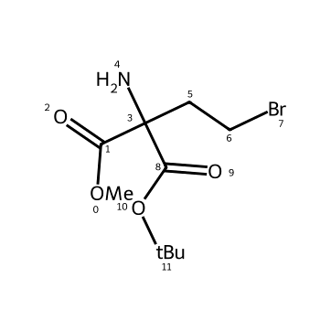 COC(=O)C(N)(CCBr)C(=O)OC(C)(C)C